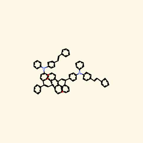 C(=C(c1ccccc1)c1ccc(N(c2ccccc2)c2ccc(/C=C/c3ccccc3)cc2)cc1)c1c2ccccc2c(C=C(c2ccccc2)c2ccc(N(c3ccccc3)c3ccc(/C=C/c4ccccc4)cc3)cc2)c2ccccc12